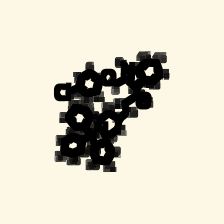 Cn1c(COc2ccc(Cl)cc2)c(C(=O)CCC2CCN(C(c3ccccc3)(c3ccccc3)c3ccccc3)CC2)c2ccccc21